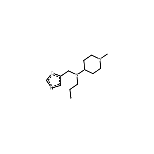 CN1CCC(N(CCF)Cc2cnco2)CC1